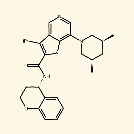 CC(C)c1c(C(=O)N[C@H]2CCOc3ccccc32)sc2c(N3C[C@H](C)C[C@H](C)C3)cncc12